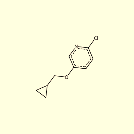 Clc1ccc(OCC2CC2)cn1